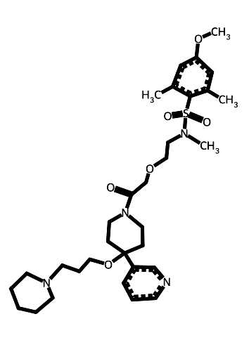 COc1cc(C)c(S(=O)(=O)N(C)CCOCC(=O)N2CCC(OCCCN3CCCCC3)(c3cccnc3)CC2)c(C)c1